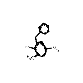 Cc1cc(C)c(O)c(Cc2ccccc2)c1